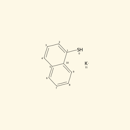 Sc1cccc2ccccc12.[K]